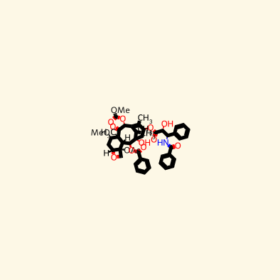 COC(=O)O[C@H]1C(=O)[C@]2(C)[C@@H](OC)C[C@H]3OC[C@@]3(OC(C)=O)[C@H]2[C@H](OC(=O)c2ccccc2)[C@]2(O)C[C@H](OC(=O)[C@H](O)[C@@H](NC(=O)c3ccccc3)c3ccccc3)C(C)=C1C2(C)C